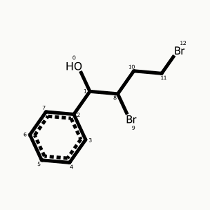 OC(c1ccccc1)C(Br)CCBr